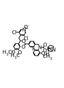 COc1ccc(C(Cc2c(Cl)c[n+]([O-])cc2Cl)OC(=O)c2ccc(CN(C(=O)O[C@H]3CN4CCC3CC4)c3c(F)cccc3OC)cc2)cc1OC